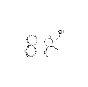 CO[C@@H]1[C@H](C)[C@@H](CO)O[C@H]1c1cccc2ccccc12